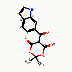 CC1(C)OC(=O)C(C(=O)c2ccc3cc[nH]c3c2)C(=O)O1